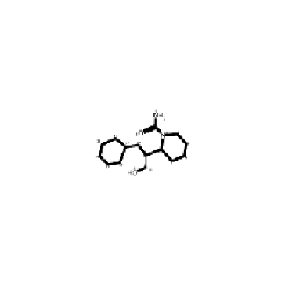 NC(=O)N1CCCCC1[C@@H](CO)CC1CCCCC1